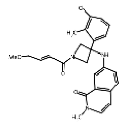 COC/C=C/C(=O)N1CC(Nc2ccc3ccn(C)c(=O)c3c2)(c2cccc(Cl)c2C)C1